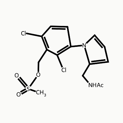 CC(=O)NCc1cccn1-c1ccc(Cl)c(COS(C)(=O)=O)c1Cl